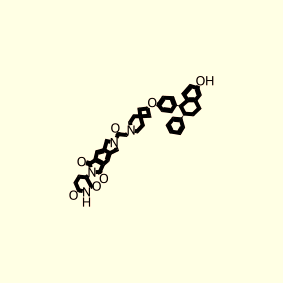 O=C1CCC(N2C(=O)c3cc4c(cc3C2=O)CN(C(=O)CN2CCC3(CC2)CC(Oc2ccc([C@@H]5c6ccc(O)cc6CC[C@@H]5c5ccccc5)cc2)C3)C4)C(=O)N1